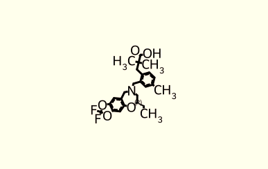 CC[C@@H]1CN(Cc2cc(C)ccc2CC(C)(C)C(=O)O)Cc2cc3c(cc2O1)OC(F)(F)O3